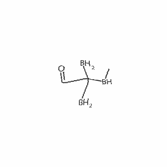 BC(B)(BC)C=O